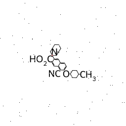 C[C@H]1CC[C@@H](Oc2ccc3cc(CN4C5CCCC4CC(C(=O)O)C5)ccc3c2C#N)CC1